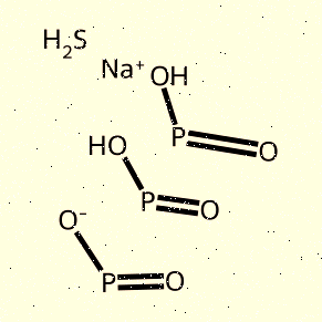 O=PO.O=PO.O=P[O-].S.[Na+]